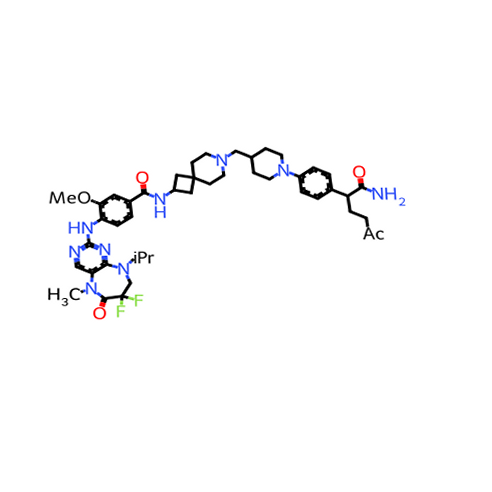 COc1cc(C(=O)NC2CC3(CCN(CC4CCN(c5ccc(C(CCC(C)=O)C(N)=O)cc5)CC4)CC3)C2)ccc1Nc1ncc2c(n1)N(C(C)C)CC(F)(F)C(=O)N2C